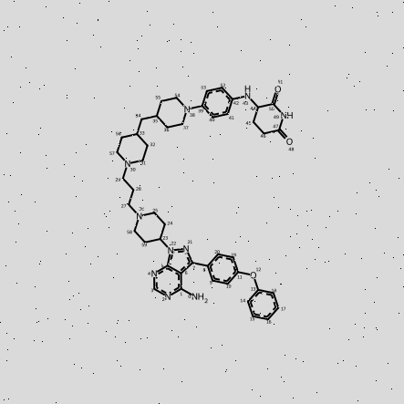 Nc1ncnc2c1c(-c1ccc(Oc3ccccc3)cc1)nn2C1CCN(CCCN2CCC(CC3CCN(c4ccc(NC5CCC(=O)NC5=O)cc4)CC3)CC2)CC1